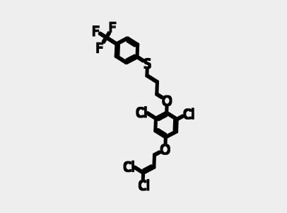 FC(F)(F)c1ccc(SCCCOc2c(Cl)cc(OCC=C(Cl)Cl)cc2Cl)cc1